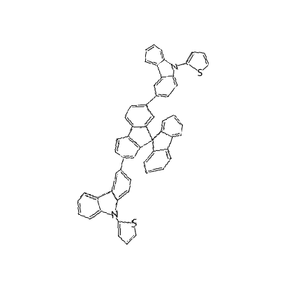 c1csc(-n2c3ccccc3c3cc(-c4ccc5c(c4)C4(c6ccccc6-c6ccccc64)c4cc(-c6ccc7c(c6)c6ccccc6n7-c6cccs6)ccc4-5)ccc32)c1